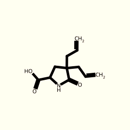 C=CCC1(CC=C)CC(C(=O)O)NC1=O